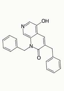 O=c1c(Cc2ccccc2)cc2c(O)cncc2n1Cc1ccccc1